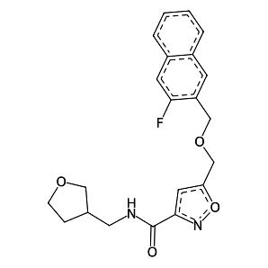 O=C(NCC1CCOC1)c1cc(COCc2cc3ccccc3cc2F)on1